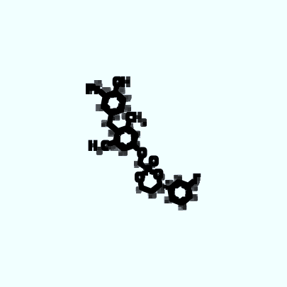 Cc1cc(OC[P@]2(=O)OCC[C@@H](c3cccc(F)c3)O2)cc(C)c1Cc1ccc(O)c(C(C)C)c1